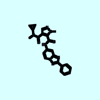 CN(C(=O)c1cnn(C)c1C(=O)Nc1ccn2nc(-c3ccccc3)nc2c1)C1CC1